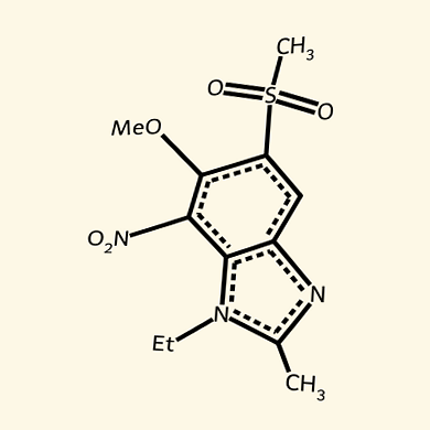 CCn1c(C)nc2cc(S(C)(=O)=O)c(OC)c([N+](=O)[O-])c21